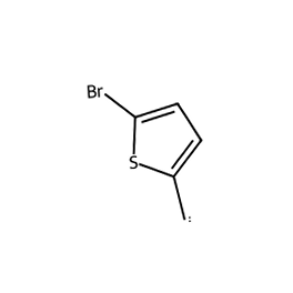 [CH]c1ccc(Br)s1